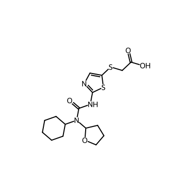 O=C(O)CSc1cnc(NC(=O)N(C2CCCCC2)C2CCCO2)s1